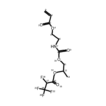 C=CC(=O)OCCNC(=O)OCC(C)OC(=O)C(F)C(F)(F)F